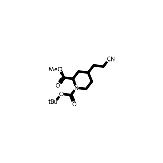 COC(=O)C1CC(CCC#N)CCN1C(=O)OC(C)(C)C